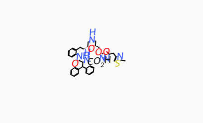 Cc1nc(Cc2nnc(OC[C@@H]3CNC[C@@H](CCc4ccccc4NC(=O)[C@@H](NC(=O)O)C(c4ccccc4)c4ccccc4)O3)o2)cs1